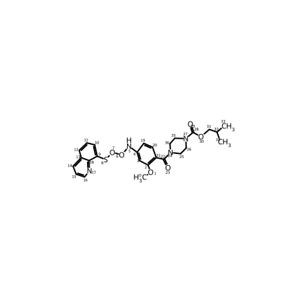 COc1cc(NOOSc2cccc3cccnc23)ccc1C(=O)N1CCN(C(=O)OCC(C)C)CC1